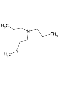 CCCN(CCC)CC[N]C